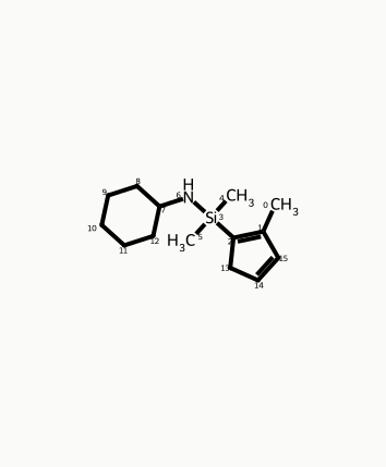 CC1=C([Si](C)(C)NC2CCCCC2)CC=C1